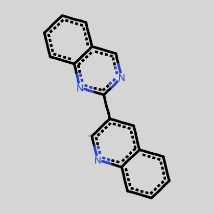 [c]1nc2ccccc2cc1-c1ncc2ccccc2n1